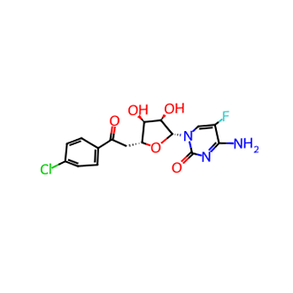 Nc1nc(=O)n([C@@H]2O[C@H](CC(=O)c3ccc(Cl)cc3)[C@@H](O)[C@H]2O)cc1F